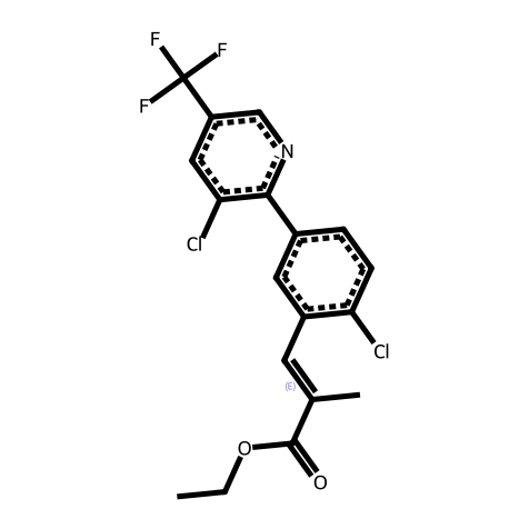 CCOC(=O)/C(C)=C/c1cc(-c2ncc(C(F)(F)F)cc2Cl)ccc1Cl